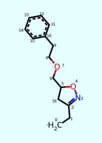 [CH2]CC1=NOC(COCCc2ccccc2)C1